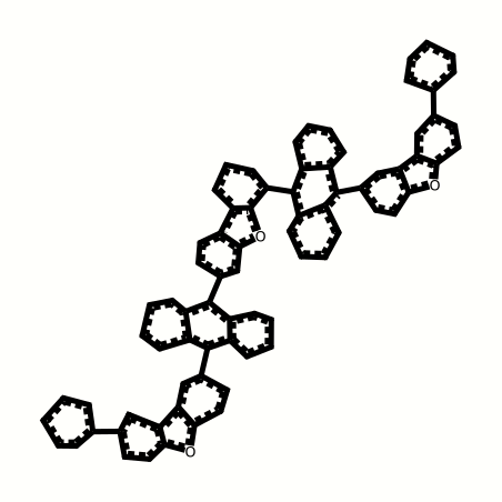 c1ccc(-c2ccc3oc4ccc(-c5c6ccccc6c(-c6ccc7c(c6)oc6c(-c8c9ccccc9c(-c9ccc%10oc%11ccc(-c%12ccccc%12)cc%11c%10c9)c9ccccc89)cccc67)c6ccccc56)cc4c3c2)cc1